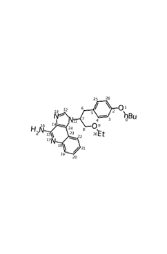 CCCCOc1ccc(CC(COCC)n2cnc3c(N)nc4ccccc4c32)cc1